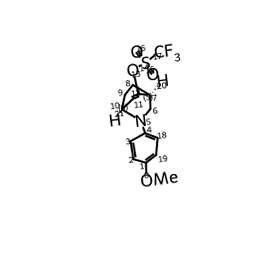 COc1ccc(N2C[C@@H]3CC[C@H]2C=C3OS(=O)(=O)C(F)(F)F)cc1